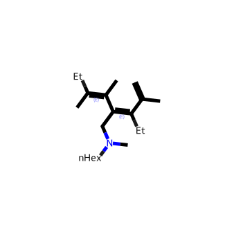 C=C(C)/C(CC)=C(CN(C)CCCCCC)\C(C)=C(/C)CC